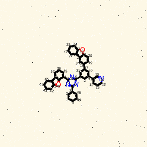 c1ccc(-c2nc(-c3cc(-c4cccnc4)cc(-c4ccc5oc6ccccc6c5c4)c3)nc(-c3cccc4c3oc3ccccc34)n2)cc1